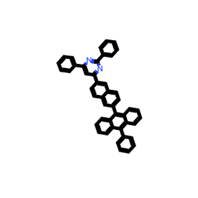 c1ccc(-c2cc(-c3ccc4cc(-c5c6ccccc6c(-c6ccccc6)c6ccccc56)ccc4c3)nc(-c3ccccc3)n2)cc1